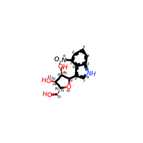 O=[N+]([O-])c1cccc2[nH]cc(C3O[C@H](CO)[C@@H](O)[C@H]3O)c12